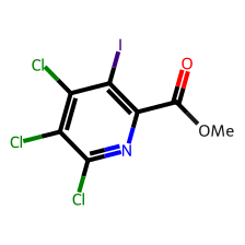 COC(=O)c1nc(Cl)c(Cl)c(Cl)c1I